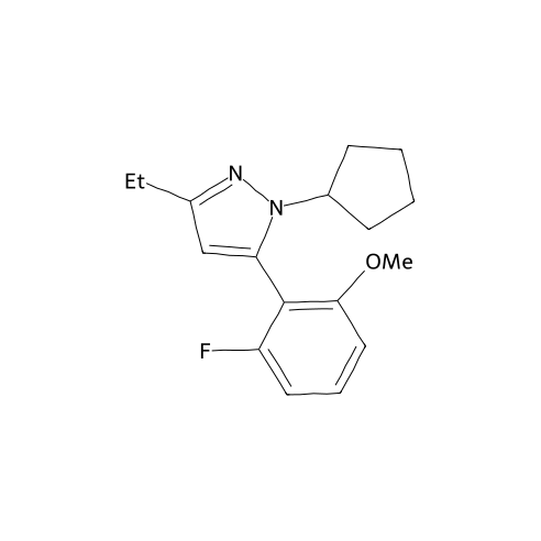 CCc1cc(-c2c(F)cccc2OC)n(C2CCCC2)n1